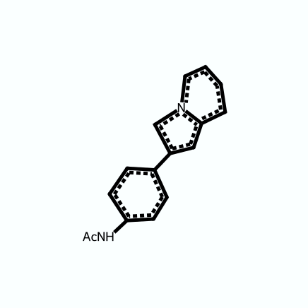 CC(=O)Nc1ccc(-c2cc3ccccn3c2)cc1